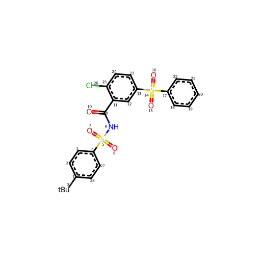 CC(C)(C)c1ccc(S(=O)(=O)NC(=O)c2cc(S(=O)(=O)c3ccccc3)ccc2Cl)cc1